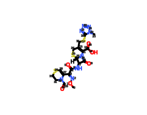 CON=C(C(=O)NC1C(=O)N2C(C(=O)O)=C(CSc3nnnn3C)CS[C@@H]12)C1=CSCCN1C=O